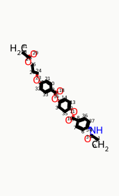 C=CC(=O)Nc1ccc(C(=O)OC2=CC=C(OC(=O)c3ccc(OCCCOC(=O)C=C)cc3)CC2)cc1